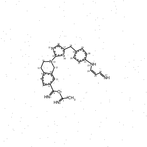 CC(=N)OC(=N)c1ccc2c(c1)CN(c1ncc(Cc3ccc(N/C=C\C=N)cc3)s1)CC2